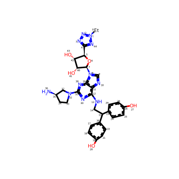 CCn1nnc([C@H]2O[C@@H](n3cnc4c(NCC(c5ccc(O)cc5)c5ccc(O)cc5)nc(N5CC[C@@H](N)C5)nc43)[C@H](O)[C@@H]2O)n1